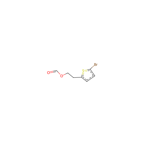 O=COCCc1ccc(Br)s1